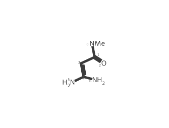 CNC(=O)C=C(N)N